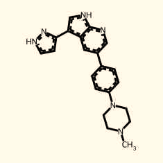 CN1CCN(c2ccc(-c3cnc4[nH]cc(-c5cc[nH]n5)c4c3)cc2)CC1